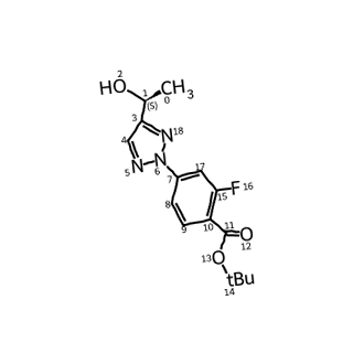 C[C@H](O)c1cnn(-c2ccc(C(=O)OC(C)(C)C)c(F)c2)n1